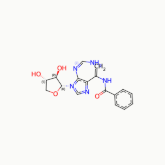 C=C(NC(=O)c1ccccc1)c1ncn([C@@H]2OC[C@H](O)[C@H]2O)c1/N=C\N